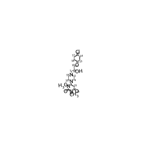 Cn1c(N2CCN(CC(O)COc3ccc(Cl)cc3)CC2)cc(=O)n(C)c1=O